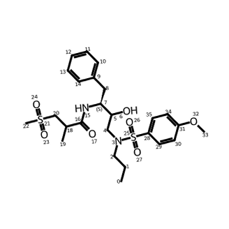 CCCN(CC(O)[C@H](Cc1ccccc1)NC(=O)C(C)CS(C)(=O)=O)S(=O)(=O)c1ccc(OC)cc1